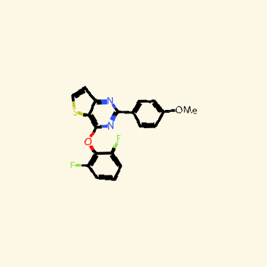 COc1ccc(-c2nc(Oc3c(F)cccc3F)c3sccc3n2)cc1